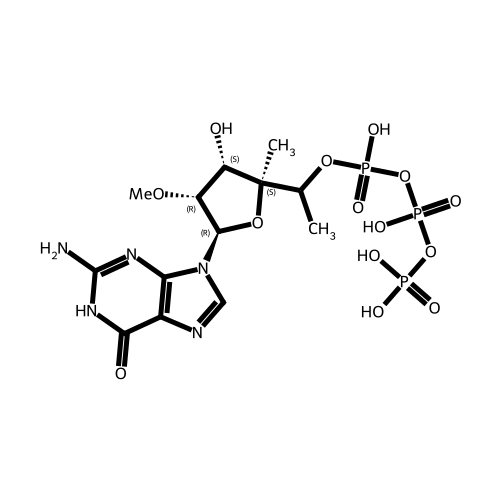 CO[C@H]1[C@H](n2cnc3c(=O)[nH]c(N)nc32)O[C@](C)(C(C)OP(=O)(O)OP(=O)(O)OP(=O)(O)O)[C@H]1O